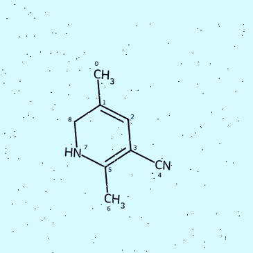 CC1=CC(C#N)=C(C)NC1